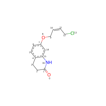 O=C1CCc2ccc(OC/C=C\CCl)cc2N1